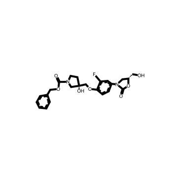 O=C(OCc1ccccc1)N1CC[C@@](O)(COc2ccc(N3C[C@H](CO)OC3=O)cc2F)C1